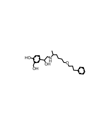 CC(CCCCOCCCc1ccccc1)NCC(O)c1ccc(O)c(CO)c1